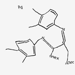 CCCCCCCCCCCC(=Nc1ccc(C)c(C)c1)C(CCCCCC)=Nc1ccc(C)c(C)c1.[Pd]